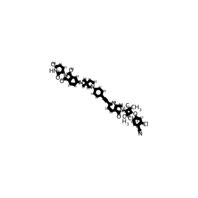 CC1(C)[C@H](Oc2ccc(C#N)c(Cl)c2)C(C)(C)[C@H]1N1Cc2nc(C#CC3CCC(N4CCC5(CN(c6ccc7c(c6)C(=O)N(C6CCC(=O)NC6=O)C7=O)C5)C4)CC3)ccc2C1=O